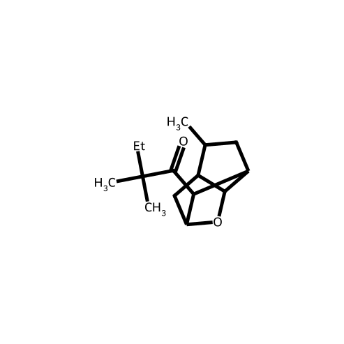 CCC(C)(C)C(=O)C1C2CC3C(C)CC1C3O2